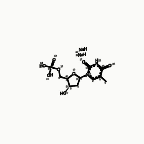 Cc1cn([C@H]2C[C@H](O)[C@@H](COP(=O)(O)O)O2)c(=O)[nH]c1=O.[NaH].[NaH]